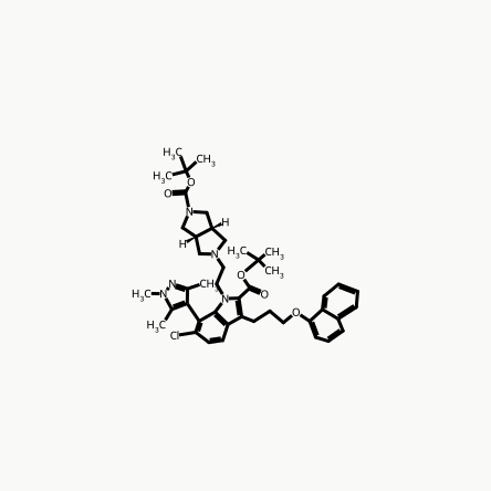 Cc1nn(C)c(C)c1-c1c(Cl)ccc2c(CCCOc3cccc4ccccc34)c(C(=O)OC(C)(C)C)n(CCN3C[C@@H]4CN(C(=O)OC(C)(C)C)C[C@@H]4C3)c12